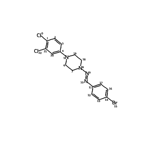 Clc1ccc(N2CCN(N=Nc3ccc(Br)cc3)CC2)cc1Cl